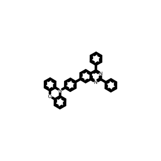 c1ccc(-c2nc(-c3ccccc3)c3ccc(-c4ccc(N5c6ccccc6Oc6ccccc65)cc4)cc3n2)cc1